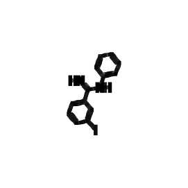 N=C(Nc1ccccc1)c1cccc(I)c1